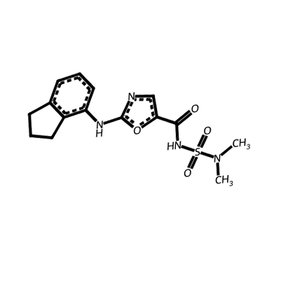 CN(C)S(=O)(=O)NC(=O)c1cnc(Nc2cccc3c2CCC3)o1